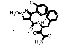 Cn1cc(C(=O)NC(Cc2ccccc2)C(=O)C(N)=O)c(-c2ccccc2Cl)n1